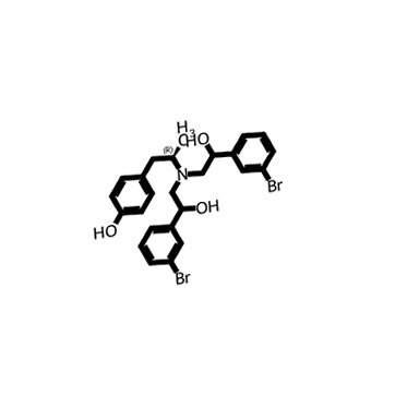 C[C@H](Cc1ccc(O)cc1)N(CC(O)c1cccc(Br)c1)CC(O)c1cccc(Br)c1